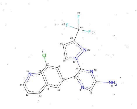 Nc1cnc(-c2cc(Cl)c3ncccc3c2)c(-n2ccc(C(F)(F)F)n2)n1